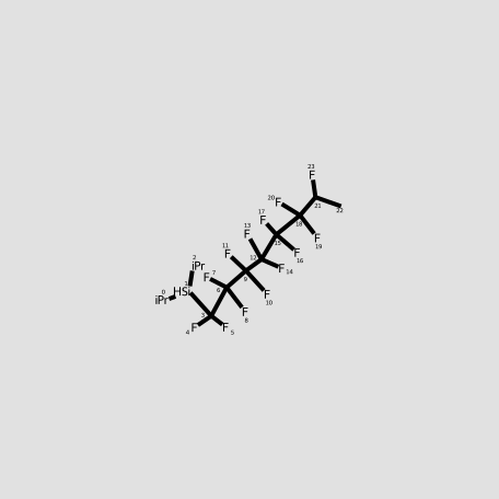 CC(C)[SiH](C(C)C)C(F)(F)C(F)(F)C(F)(F)C(F)(F)C(F)(F)C(F)(F)C(C)F